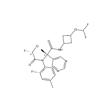 Cc1ccc(N(C(=O)[C@H](F)Cl)[C@](C)(C(=O)NC2CC(OC(F)F)C2)c2cncnc2)c(F)c1